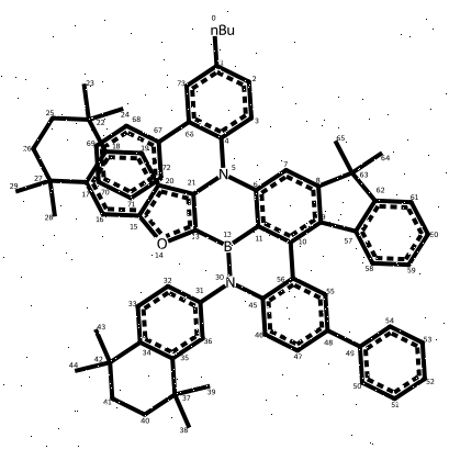 CCCCc1ccc(N2c3cc4c(c5c3B(c3oc6cc7c(cc6c32)C(C)(C)CCC7(C)C)N(c2ccc3c(c2)C(C)(C)CCC3(C)C)c2ccc(-c3ccccc3)cc2-5)-c2ccccc2C4(C)C)c(-c2ccccc2)c1